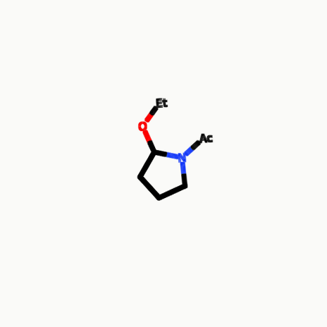 CCOC1CCCN1C(C)=O